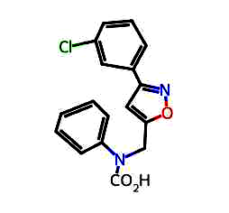 O=C(O)N(Cc1cc(-c2cccc(Cl)c2)no1)c1ccccc1